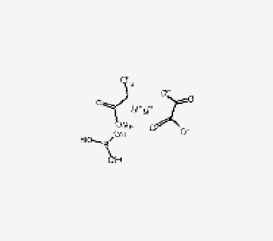 COC(=O)CC(F)(F)F.O=C([O-])C(=O)[O-].OB(O)O.[Li+].[Li+]